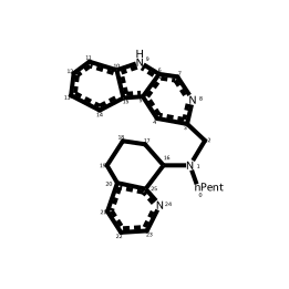 CCCCCN(Cc1cc2c(cn1)[nH]c1ccccc12)C1CCCc2cccnc21